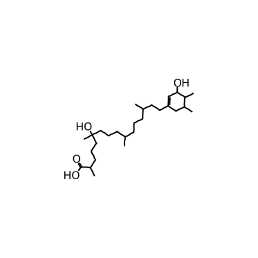 CC(CCCC(C)CCC1=CC(O)C(C)C(C)C1)CCCC(C)(O)CCCC(C)C(=O)O